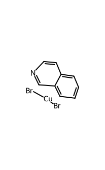 [Br][Cu][Br].c1ccc2cnccc2c1